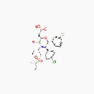 CC[C@@H](CS(=O)(=O)[C@@H](C)CC)N1C(=O)[C@@H](CC(=O)O)O[C@H](c2cccc(Cl)c2)[C@H]1c1ccc(Cl)cc1